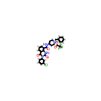 O=C(NC1CC[N+](Cc2ccccc2)(OC(=O)C(F)(F)F)CC1)c1cccc2c(=O)n(-c3cccc(Cl)c3)c(=O)[nH]c12